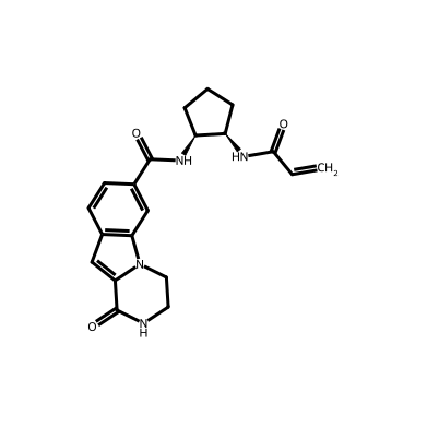 C=CC(=O)N[C@@H]1CCC[C@@H]1NC(=O)c1ccc2cc3n(c2c1)CCNC3=O